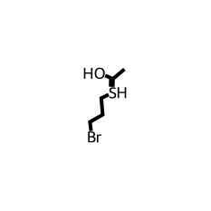 CC(O)=[SH]CCCBr